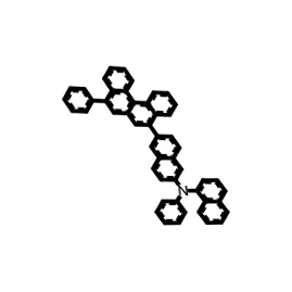 c1ccc(-c2cc3cc(-c4ccc5cc(N(c6ccccc6)c6cccc7ccccc67)ccc5c4)c4ccccc4c3c3ccccc23)cc1